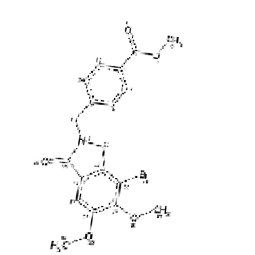 COC(=O)c1ccc(CN2Cc3c(cc(OC)c(OC)c3Br)C2=O)cc1